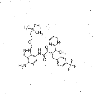 CC(c1ncccn1)N(Cc1ccc(C(F)(F)F)cn1)C(=O)C(=O)Nc1cnc(N)c2cnn(COCC[Si](C)(C)C)c12